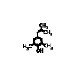 Cc1cc(CC(C)C)cc(C)c1O